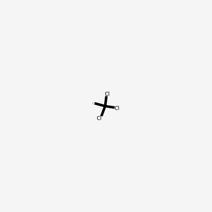 [CH]C(Cl)(Cl)Cl